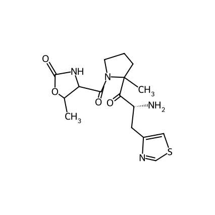 CC1OC(=O)NC1C(=O)N1CCCC1(C)C(=O)[C@H](N)Cc1cscn1